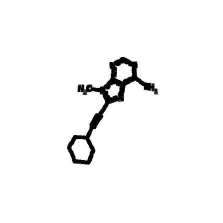 Cn1c(C#CC2CCCCC2)nc2c(N)ncnc21